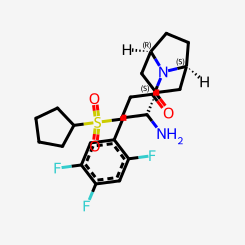 NC(Cc1cc(F)c(F)cc1F)[C@@H]1C[C@H]2CC[C@@H](C1)N2C(=O)CCS(=O)(=O)C1CCCC1